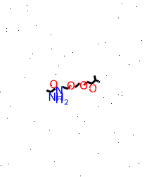 CC(C)C(=O)COCCOCCNC(=O)C(C)N